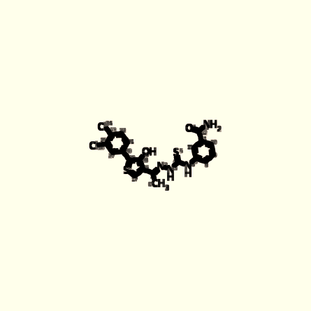 C/C(=N\NC(=S)Nc1cccc(C(N)=O)c1)c1csc(-c2ccc(Cl)c(Cl)c2)c1O